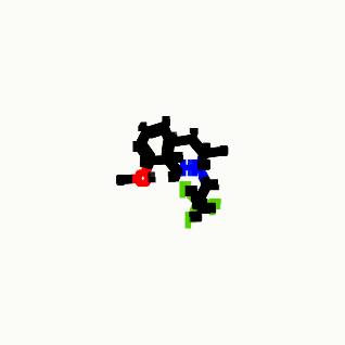 COc1cccc(CC(C)NCC(F)(F)F)c1C